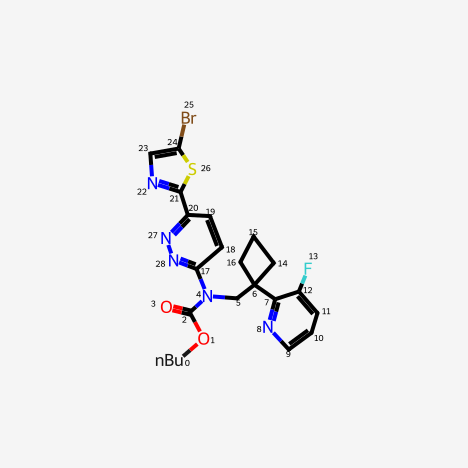 CCCCOC(=O)N(CC1(c2ncccc2F)CCC1)c1ccc(-c2ncc(Br)s2)nn1